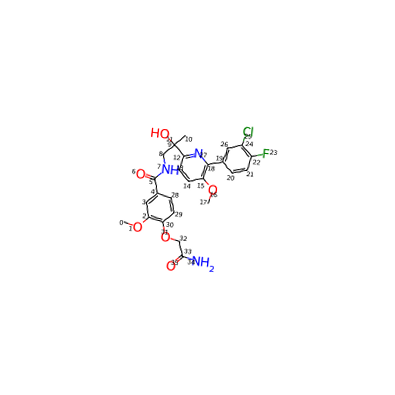 COc1cc(C(=O)NCC(C)(O)c2ccc(OC)c(-c3ccc(F)c(Cl)c3)n2)ccc1OCC(N)=O